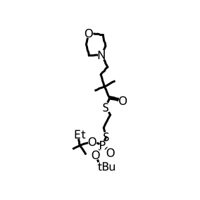 CCC(C)(C)OP(=O)(OC(C)(C)C)SCCSC(=O)C(C)(C)CCN1CCOCC1